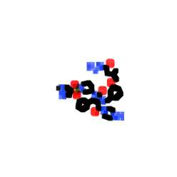 CC(COc1cccc(Cn2c(C(=O)N3CCNCC3)c(-c3ccccc3)n(C3CCCN(S(=O)(=O)c4cnn(C)c4)C3)c2=O)c1)CC(N)=O